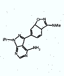 CNC1=NOC2C=C(c3nn(C(C)C)c4ncnc(N)c34)C=CC12